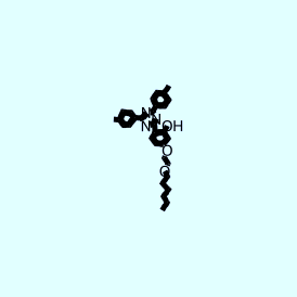 CCCCCCOCCOc1ccc(-c2nc(-c3ccc(C)cc3)nc(-c3ccc(C)cc3)n2)c(O)c1